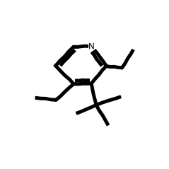 CCc1ccnc(CC)c1C(C)(C)C